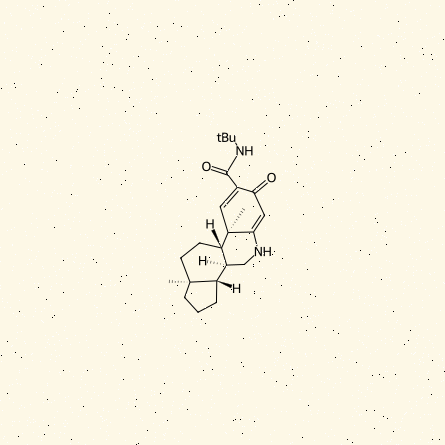 CC(C)(C)NC(=O)C1=C[C@@]2(C)C(=CC1=O)NC[C@H]1[C@@H]3CCC[C@@]3(C)CC[C@@H]12